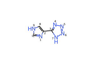 [c]1nc(-c2nnn[nH]2)c[nH]1